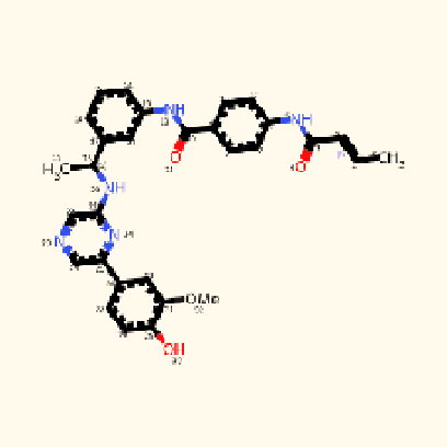 C/C=C/C(=O)Nc1ccc(C(=O)Nc2cccc([C@H](C)Nc3cncc(-c4ccc(O)c(OC)c4)n3)c2)cc1